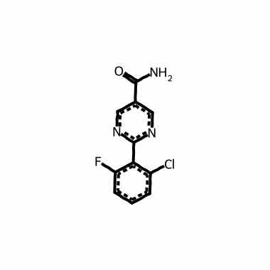 NC(=O)c1cnc(-c2c(F)cccc2Cl)nc1